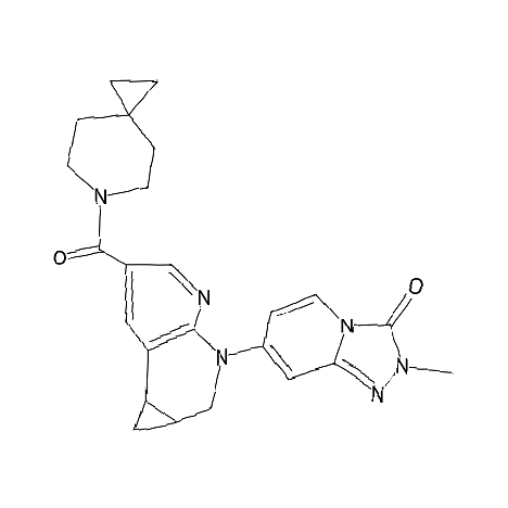 Cn1nc2cc(N3CC4CC4c4cc(C(=O)N5CCC6(CC5)CC6)cnc43)ccn2c1=O